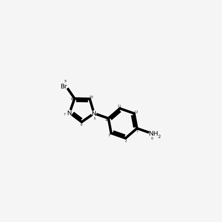 Nc1ccc(-n2cnc(Br)c2)cc1